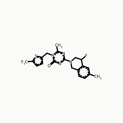 Cc1ccc2c(c1)C(F)CN(c1nc(C)n(Cc3ccc(C(F)(F)F)s3)c(=O)n1)C2